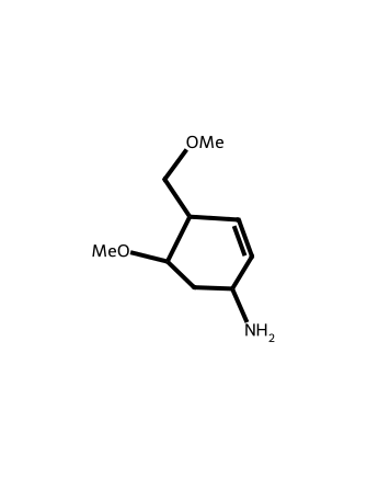 COCC1C=CC(N)CC1OC